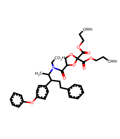 COCCOC(=O)C1(C(=O)OCCOC)OCC(C(=O)N(CC(=O)O)C(C)C(CCc2ccccc2)c2ccc(Oc3ccccc3)cc2)O1